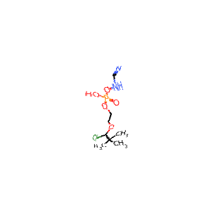 CC(C)(C)C(Cl)OCCOP(=O)(O)ONC#N